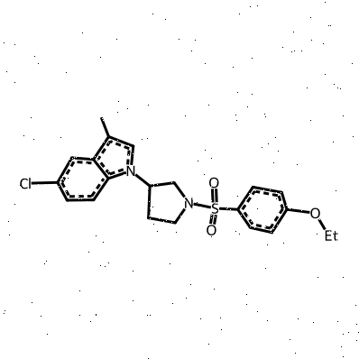 CCOc1ccc(S(=O)(=O)N2CCC(n3cc(C)c4cc(Cl)ccc43)C2)cc1